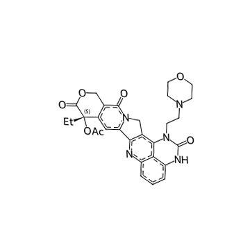 CC[C@@]1(OC(C)=O)C(=O)OCc2c1cc1n(c2=O)Cc2c-1nc1cccc3c1c2N(CCN1CCOCC1)C(=O)N3